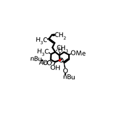 C=C/C(C)=C/C[C@]1(C)[C@H](C)[C@@H](OCCCC)[C@H](O)[C@@]23C(=C[C@H](OC)C[C@@H]12)[C@H](OCCCC)O[C@H]3OC(C)=O